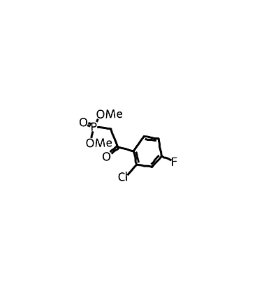 COP(=O)(CC(=O)c1ccc(F)cc1Cl)OC